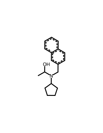 CC(O)N(Cc1ccc2ccccc2c1)C1CCCC1